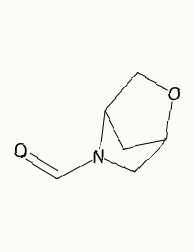 O=CN1CC2CC1CO2